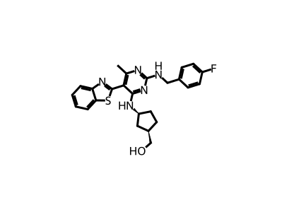 Cc1nc(NCc2ccc(F)cc2)nc(N[C@H]2CC[C@@H](CO)C2)c1-c1nc2ccccc2s1